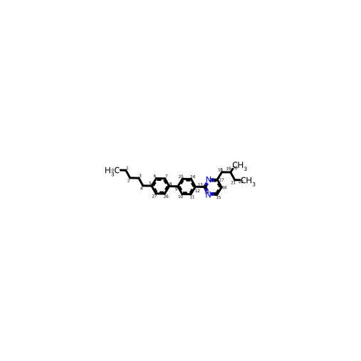 CCCCCc1ccc(-c2ccc(-c3nccc(CC(C)CC)n3)cc2)cc1